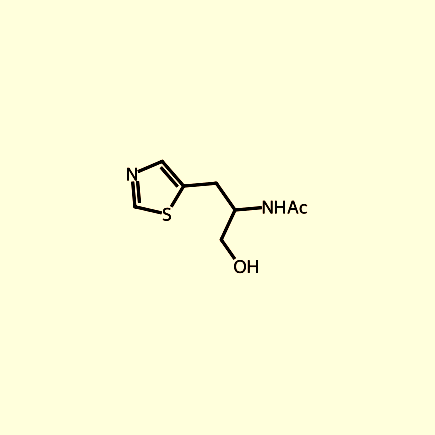 CC(=O)NC(CO)Cc1cncs1